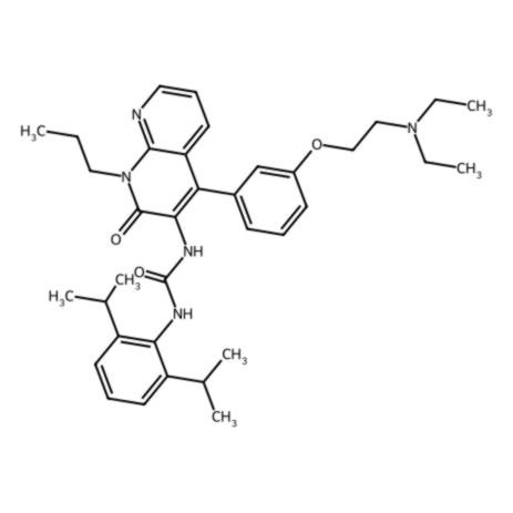 CCCn1c(=O)c(NC(=O)Nc2c(C(C)C)cccc2C(C)C)c(-c2cccc(OCCN(CC)CC)c2)c2cccnc21